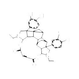 CCN1CC2(c3ccc(Cl)c(Cl)c3)C3CCC4C5C6CCC(C53)C3(c5ccc(Cl)c(Cl)c5)CN(CC)C(OC(=O)/C=C\C(=O)OC1C42)C63